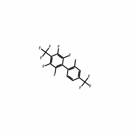 Cc1cc(C(F)(F)F)ccc1-c1c(F)c(F)c(C(F)(F)F)c(F)c1F